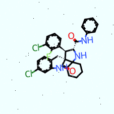 O=C(Nc1ccccc1)[C@@H]1NC2(CCCCC2)[C@]2(Cc3ccc(Cl)cc3NC2=O)[C@H]1c1cccc(Cl)c1F